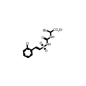 CCOC(=O)C(NC(=O)NS(=O)(=O)C=Cc1ccccc1Cl)C(C)CC